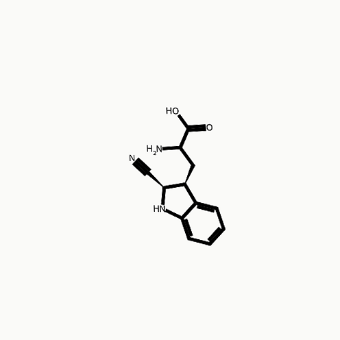 N#C[C@@H]1Nc2ccccc2[C@@H]1CC(N)C(=O)O